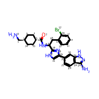 NC[C@H]1CC[C@H](C(=O)NC(Cc2ccccc2Br)c2nc(-c3ccc4c(N)n[nH]c4c3)c[nH]2)CC1